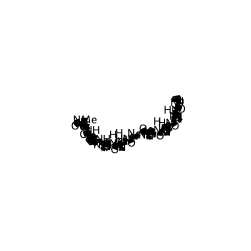 CNC(=O)c1cc(NC(=O)c2ccc3nc(-c4cc(NC(=O)c5nc(NC(=O)[C@H](N)CCNC(=O)c6cc(NC(=O)c7cc(NC(=O)c8nc(NC(=O)c9nccn9C)cn8C)cn7C)cn6C)cn5C)cn4C)[nH]c3c2)cn1C